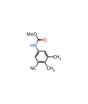 COC(=O)Nc1cc(C)c(C)c(C#N)c1